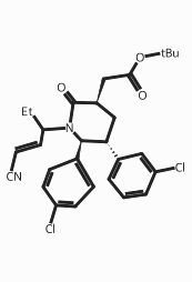 CCC(C=CC#N)N1C(=O)[C@@H](CC(=O)OC(C)(C)C)C[C@H](c2cccc(Cl)c2)[C@H]1c1ccc(Cl)cc1